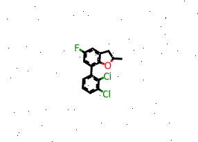 CC1Cc2cc(F)cc(-c3cccc(Cl)c3Cl)c2O1